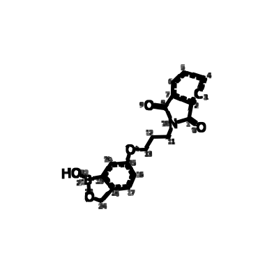 O=C1c2ccccc2C(=O)N1CCCOc1ccc2c(c1)B(O)OC2